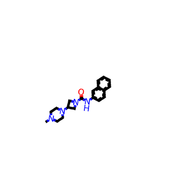 CN1CCN(C2CN(C(=O)Nc3ccc4ccccc4c3)C2)CC1